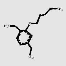 CCCCCOc1cc(CC)ccc1CC